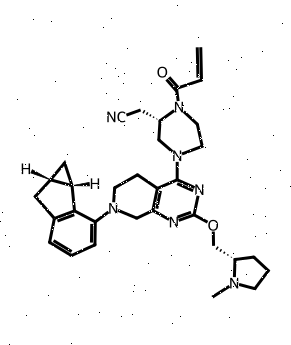 C=CC(=O)N1CCN(c2nc(OC[C@@H]3CCCN3C)nc3c2CCN(c2cccc4c2[C@H]2C[C@H]2C4)C3)C[C@@H]1CC#N